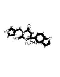 C[C@@]1(c2ccc3sccc3c2)CC(=O)N(Cc2ccsc2)C(=N)N1